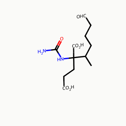 CC(CCCC=O)C(CCC(=O)O)(NC(N)=O)C(=O)O